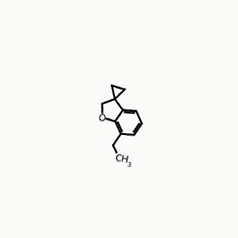 CCc1cccc2c1OCC21CC1